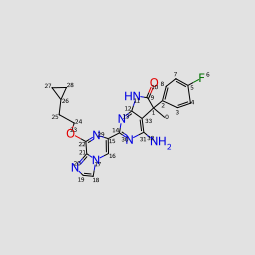 CC1(c2ccc(F)cc2)C(=O)Nc2nc(-c3cn4ccnc4c(OCCC4CC4)n3)nc(N)c21